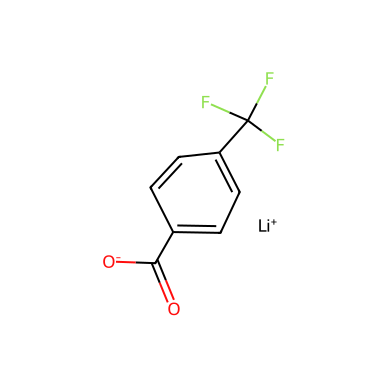 O=C([O-])c1ccc(C(F)(F)F)cc1.[Li+]